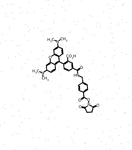 CN(C)c1ccc2c(c1)OC1=CC(N(C)C)C=CC1=C2c1ccc(C(=O)NCc2ccc(C(=O)ON3C(=O)CCC3=O)cc2)cc1C(=O)O